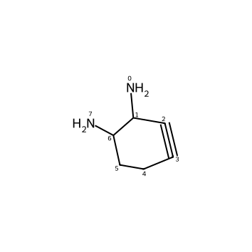 NC1C#CCCC1N